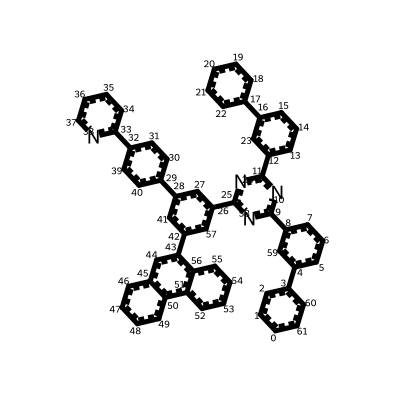 c1ccc(-c2cccc(-c3nc(-c4cccc(-c5ccccc5)c4)nc(-c4cc(-c5ccc(-c6ccccn6)cc5)cc(-c5cc6ccccc6c6ccccc56)c4)n3)c2)cc1